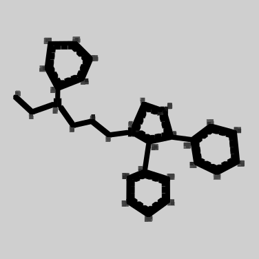 CCN(CCCn1cnc(-c2ccccc2)c1-c1ccccc1)c1ccccc1